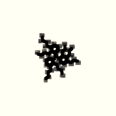 CCCCc1cccc(P(c2cccc(CCCC)c2CCCC)c2ccc(CCC)c(CCC)c2CCC)c1CCCC